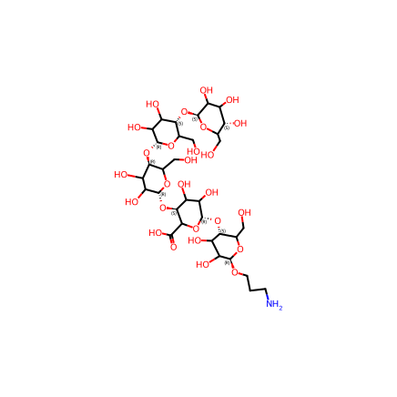 NCCCO[C@@H]1OC(CO)[C@@H](O[C@@H]2OC(C(=O)O)[C@@H](O[C@H]3OC(CO)[C@H](O[C@H]4OC(CO)[C@@H](O[C@@H]5OC(CO)[C@@H](O)C(O)C5O)C(O)C4O)C(O)C3O)C(O)C2O)C(O)C1O